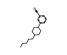 CCCCCC1CCC(c2cccc(C#N)c2)CC1